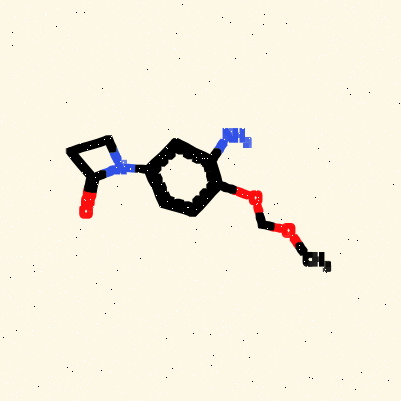 COCOc1ccc(N2CCC2=O)cc1N